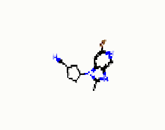 Cc1nc2cnc(Br)cc2n1C1CCC(C#N)C1